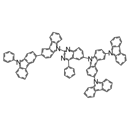 c1ccc(-c2nc(-n3c4ccccc4c4cc(-c5ccc6c(c5)c5ccccc5n6-c5ccccc5)ccc43)nc3ccc(-n4c5ccc(-n6c7ccccc7c7ccccc76)cc5c5cc(-n6c7ccccc7c7ccccc76)ccc54)cc23)cc1